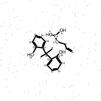 C=CCOP(O)O.CC(C)(c1ccccc1O)c1ccccc1O